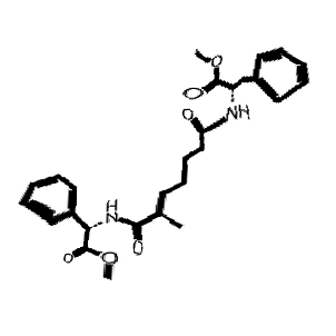 COC(=O)[C@@H](NC(=O)CCCC[C@@H](C)C(=O)N[C@H](C(=O)OC)c1ccccc1)c1ccccc1